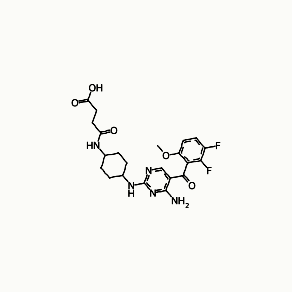 COc1ccc(F)c(F)c1C(=O)c1cnc(NC2CCC(NC(=O)CCC(=O)O)CC2)nc1N